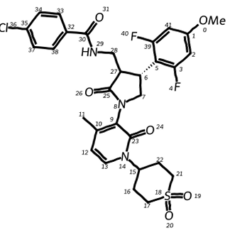 COc1cc(F)c([C@@H]2CN(c3c(C)ccn(C4CCS(=O)(=O)CC4)c3=O)C(=O)C2CNC(=O)c2ccc(Cl)cc2)c(F)c1